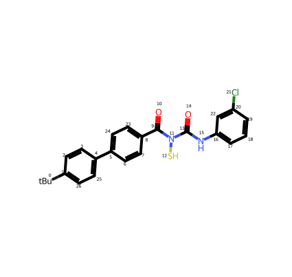 CC(C)(C)c1ccc(-c2ccc(C(=O)N(S)C(=O)Nc3cccc(Cl)c3)cc2)cc1